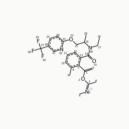 C=C(O/C(C)=N\C)c1c(C)cccc1C(=O)N(CC)C(C)COc1ccc(C(F)(F)F)cn1